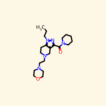 CCCn1nc(C(=O)N2CCCCC2)c2c1CCN(CCN1CCOCC1)C2